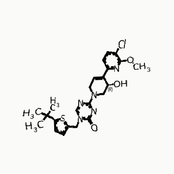 COc1nc(C2=CCN(c3ncn(Cc4ccc(C(C)(C)C)s4)c(=O)n3)C[C@@H]2O)ccc1Cl